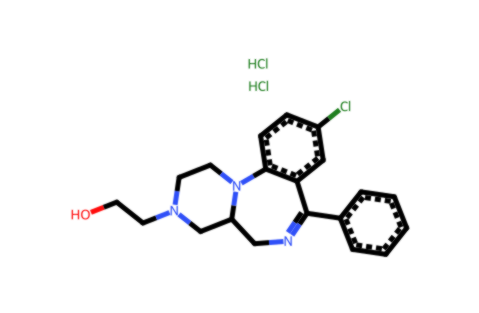 Cl.Cl.OCCN1CCN2c3ccc(Cl)cc3C(c3ccccc3)=NCC2C1